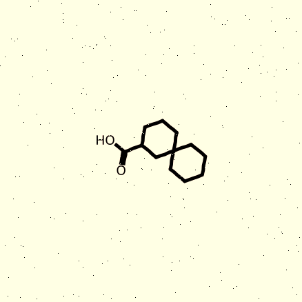 O=C(O)C1CCCC2(CCCCC2)C1